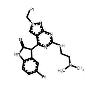 CC(C)Cn1cc2c(C3C(=O)Nc4ccc(Br)cc43)nc(NCCN(C)C)nc2n1